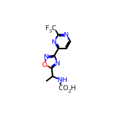 CC(NC(=O)O)c1nc(-c2ccnc(C(F)(F)F)n2)no1